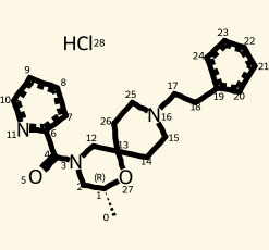 C[C@@H]1CN(C(=O)c2ccccn2)CC2(CCN(CCc3ccccc3)CC2)O1.Cl